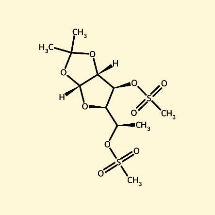 C[C@@H](OS(C)(=O)=O)[C@H]1O[C@@H]2OC(C)(C)O[C@@H]2[C@H]1OS(C)(=O)=O